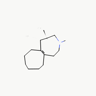 CO[C@H]1CN(C)CC/C2=C(/CCCCCC2)[C@@H]1OC